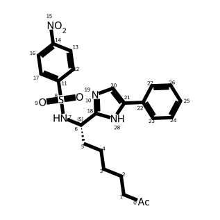 CC(=O)CCCCC[C@H](NS(=O)(=O)c1ccc([N+](=O)[O-])cc1)c1ncc(-c2ccccc2)[nH]1